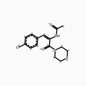 CC(=O)N/C(=C/c1ccc(Cl)cc1)C(=O)N1CCOCC1